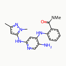 CNC(=O)c1ccccc1Nc1cc(Nc2cc(C)nn2C)ncc1N